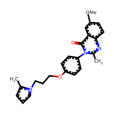 COc1ccc2nc(C)n(-c3ccc(OCCCn4cccc4C)cc3)c(=O)c2c1